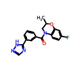 CC1CN(C(=O)c2cccc(-c3ncn[nH]3)c2)c2ccc(F)cc2O1